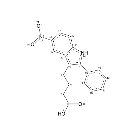 O=C(O)CCCc1c(-c2ccccc2)[nH]c2ccc([N+](=O)[O-])cc12